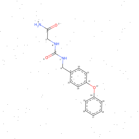 NC(=O)CNC(=O)NCc1ccc(Oc2ccccc2)cc1